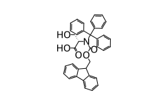 O=C(O)[C@H](CO)N(C(=O)OCC1c2ccccc2-c2ccccc21)C(c1ccccc1)(c1ccccc1)c1ccccc1